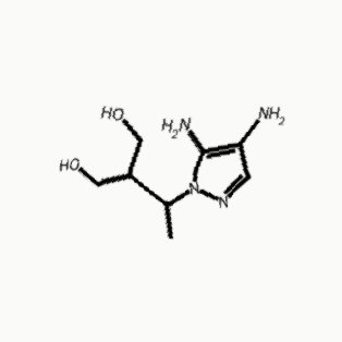 CC(C(CO)CO)n1ncc(N)c1N